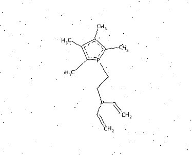 C=CP(C=C)CCp1c(C)c(C)c(C)c1C